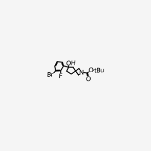 CC(C)(C)OC(=O)N1CC2(CCC(O)(c3cccc(Br)c3F)C2)C1